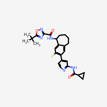 CC(C)(C)c1nc(C(=O)NC2CCCCc3cc(-c4ccnc(NC(=O)C5CC5)c4)c(F)cc32)no1